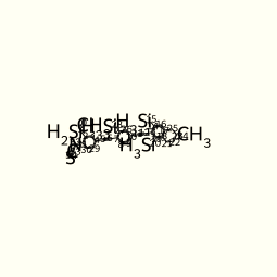 C[SiH2]c1cc(C#Cc2ccc(C#Cc3c([SiH3])cc4c(c3[SiH3])CCC(C)C4)cc2[SiH3])ccc1N=C=S